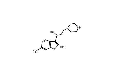 Cl.Nc1ccc2c(C(O)CCN3CCNCC3)csc2c1